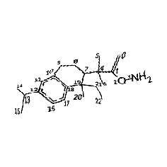 C=C(ON)C(C)(C)C1CCc2cc(C(C)C)ccc2C1(C)CC